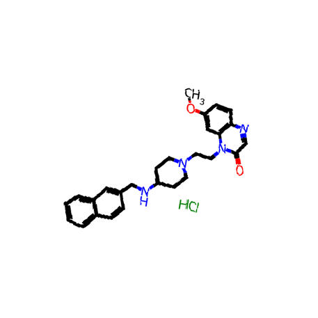 COc1ccc2ncc(=O)n(CCN3CCC(NCc4ccc5ccccc5c4)CC3)c2c1.Cl